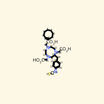 C1#CCCCCCC1.O=C(O)CN1CCN(CC(=O)O)CC(Cc2ccc(N=C=S)cc2)N(CC(=O)O)CC1